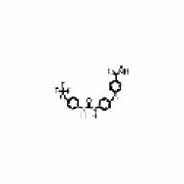 CNC(=O)c1ccc(Oc2ccc(NC(=O)Nc3ccc(OC(F)(F)F)cc3)cc2)cc1